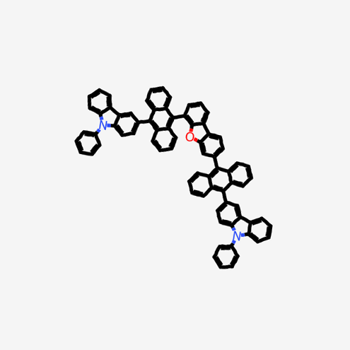 c1ccc(-n2c3ccccc3c3cc(-c4c5ccccc5c(-c5ccc6c(c5)oc5c(-c7c8ccccc8c(-c8ccc9c(c8)c8ccccc8n9-c8ccccc8)c8ccccc78)cccc56)c5ccccc45)ccc32)cc1